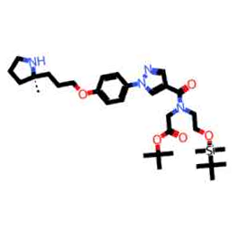 CC(C)(C)OC(=O)CN(CCO[Si](C)(C)C(C)(C)C)C(=O)c1cnn(-c2ccc(OCCC[C@@]3(C)CCCN3)cc2)c1